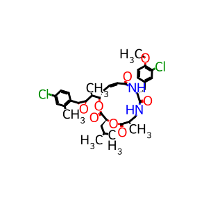 COc1ccc(C[C@H]2NC(=O)C=CC[C@@H]([C@H](C)[C@H]3OC3c3ccc(Cl)cc3C)OC(=O)[C@H](CC(C)C)OC(=O)[C@H](C)CNC2=O)cc1Cl